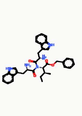 CC[C@H](C)[C@@H](C(=O)OCc1ccccc1)N(C(=O)[C@@H](N)Cc1c[nH]c2ccccc12)C(=O)[C@@H](N)Cc1c[nH]c2ccccc12